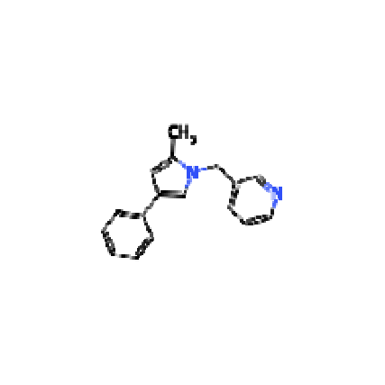 Cc1cc(-c2ccccc2)cn1Cc1cccnc1